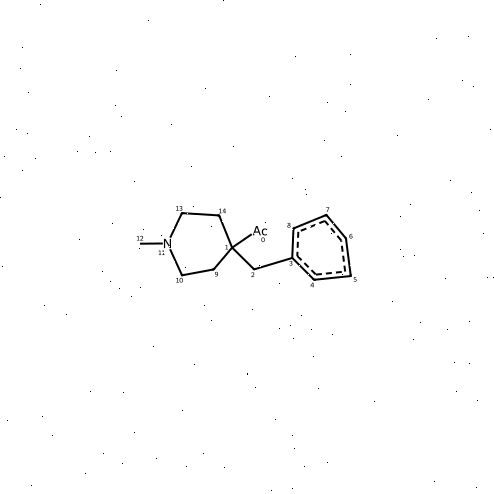 CC(=O)C1(Cc2ccccc2)CCN(C)CC1